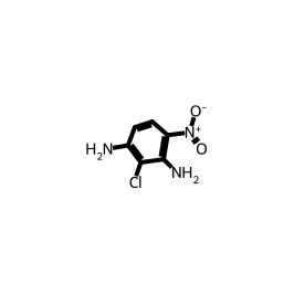 Nc1ccc([N+](=O)[O-])c(N)c1Cl